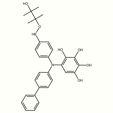 CC(C)(O)C(C)(C)OBc1ccc(N(c2ccc(-c3ccccc3)cc2)c2cc(O)c(O)c(O)c2O)cc1